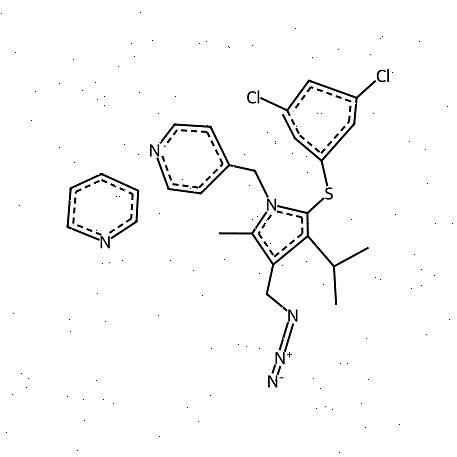 Cc1c(CN=[N+]=[N-])c(C(C)C)c(Sc2cc(Cl)cc(Cl)c2)n1Cc1ccncc1.c1ccncc1